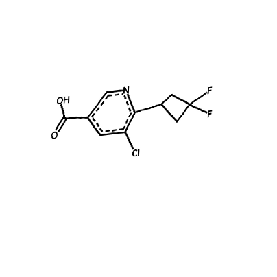 O=C(O)c1cnc(C2CC(F)(F)C2)c(Cl)c1